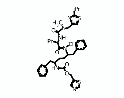 CC(C)c1nc(CN(C)C(=O)NC(C(=O)N(C)C(CCC(Cc2ccccc2)NC(=O)OCc2cncs2)Cc2ccccc2)C(C)C)cs1